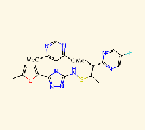 COc1ncnc(OC)c1-n1c(NSC(C)C(C)c2ncc(F)cn2)nnc1-c1ccc(C)o1